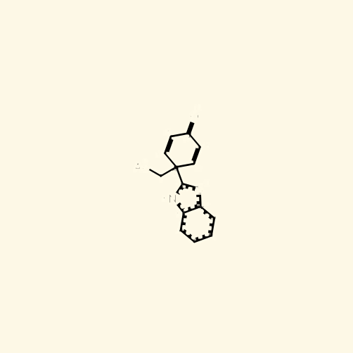 CC(=O)CC1(c2nc3ccccc3s2)C=CC(=O)C=C1